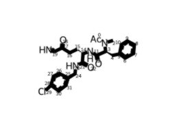 CC(=O)N(C)[C@@H](Cc1ccccc1)C(=O)N[C@@H](CCC(=O)C=N)C(=O)NCc1ccc(Cl)cc1